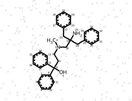 CN(CCC(O)(c1ccccc1)c1ccccc1)CC(N)(Cc1ccccc1)Cc1ccccc1